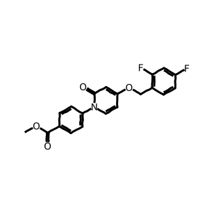 COC(=O)c1ccc(-n2ccc(OCc3ccc(F)cc3F)cc2=O)cc1